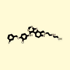 OCCNCCn1cc2c(n1)CCc1c-2sc2ncnc(Nc3ccc(OCc4cccc(F)c4)c(Cl)c3)c12